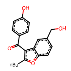 CCCCc1oc2ccc(CO)cc2c1C(=O)c1ccc(O)cc1